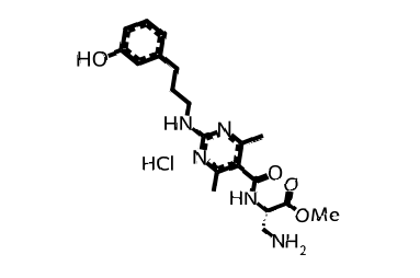 COC(=O)[C@H](CN)NC(=O)c1c(C)nc(NCCCc2cccc(O)c2)nc1C.Cl